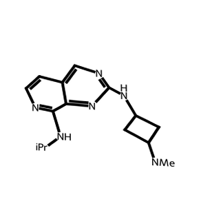 CNC1CC(Nc2ncc3ccnc(NC(C)C)c3n2)C1